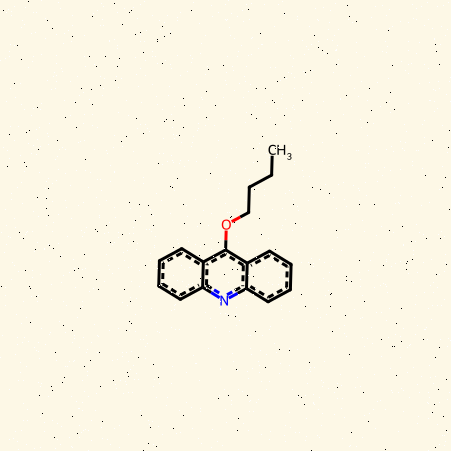 CCCCOc1c2ccccc2nc2ccccc12